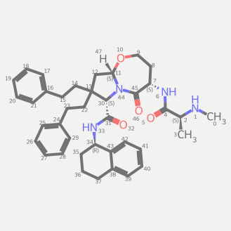 CN[C@@H](C)C(=O)N[C@H]1CCO[C@H]2CC(CCc3ccccc3)(CCc3ccccc3)[C@@H](C(=O)N[C@@H]3CCCc4ccccc43)N2C1=O